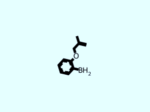 Bc1ccccc1OCC(=C)C